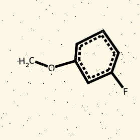 [CH2]Oc1cc[c]c(F)c1